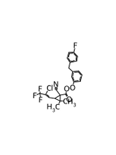 CC1(C)C(C=C(Cl)C(F)(F)F)C1(C#N)C(=O)OOc1cccc(Cc2ccc(F)cc2)c1